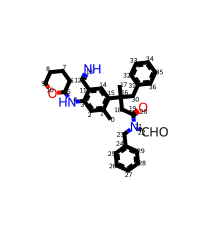 Cc1cc(NC2CCCCO2)c(C=N)cc1C(C)(CC(=O)N(C=O)Cc1ccccc1)Cc1ccccc1